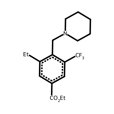 CCOC(=O)c1cc(CC)c(CN2CCCCC2)c(C(F)(F)F)c1